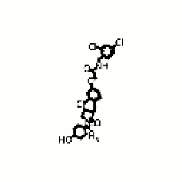 CC1(N2CCC(Cc3ccc(OCC(=O)NCc4ccc(Cl)cc4Cl)cc3Cl)C2=O)CCC(O)CC1